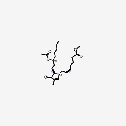 CCCCC[C@@H](C/C=C1/C(=O)C(I)=C[C@@H]1C/C=C\CCCC(=O)OC)OC(C)=O